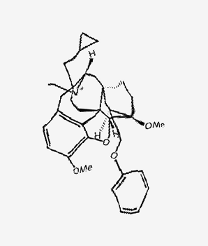 COc1ccc2c3c1O[C@H]1[C@@]4(OC)CC[C@@]5(C[C@@H]4COc4ccccc4)[C@@H](C2)[N+](C)(CC2CC2)CC[C@]315